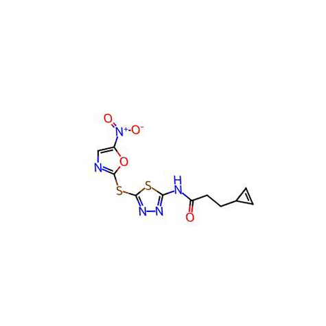 O=C(CCC1C=C1)Nc1nnc(Sc2ncc([N+](=O)[O-])o2)s1